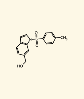 Cc1ccc(S(=O)(=O)n2ccc3ccc(CO)cc32)cc1